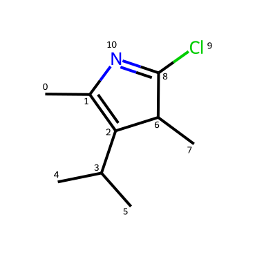 CC1=C(C(C)C)C(C)C(Cl)=N1